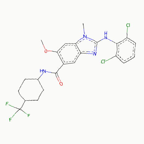 COc1cc2c(cc1C(=O)NC1CCC(C(F)(F)F)CC1)nc(Nc1c(Cl)cccc1Cl)n2C